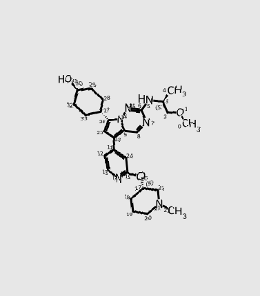 COC[C@H](C)Nc1ncc2c(-c3ccnc(O[C@H]4CCCN(C)C4)c3)cc([C@H]3CC[C@H](O)CC3)n2n1